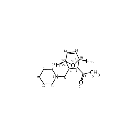 CC(=O)C1C(CN2CCCCC2)[C@@H]2C=C[C@H]1O2